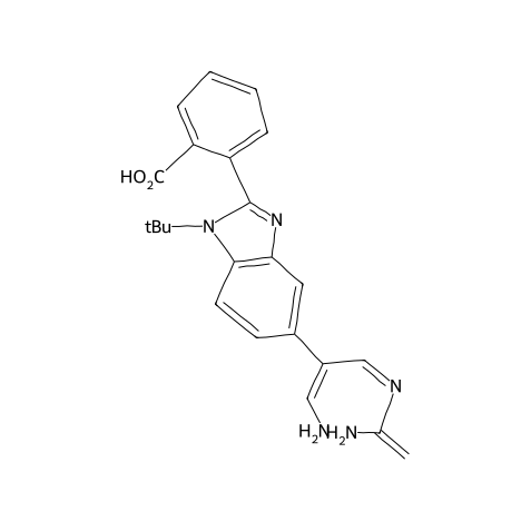 C=C(N)/N=C\C(=C/N)c1ccc2c(c1)nc(-c1ccccc1C(=O)O)n2C(C)(C)C